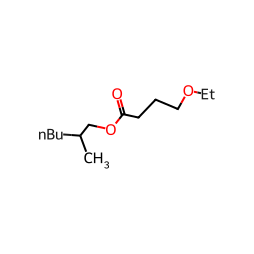 CCCCC(C)COC(=O)CCCOCC